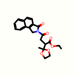 CCOC(=O)C(CC(=O)N1Cc2c(ccc3ccccc23)C1=O)C1(C)OCCO1